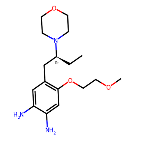 CC[C@@H](Cc1cc(N)c(N)cc1OCCOC)N1CCOCC1